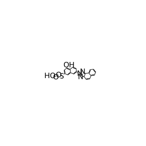 OOOSc1cc(O)c2ccc(-n3nc4ccc5ccccc5c4n3)cc2c1